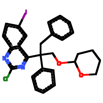 Clc1nc(C(COC2CCCCO2)(Cc2ccccc2)c2ccccc2)c2cc(I)ccc2n1